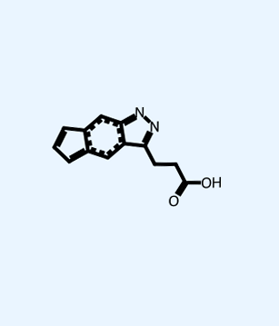 O=C(O)CCC1=NN=c2cc3c(cc21)=CC=C3